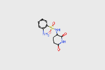 Nc1ccccc1S(=O)(=O)NC1CCC(=O)NC1=O